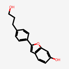 OCCCc1ccc(-c2cc3ccc(O)cc3o2)cc1